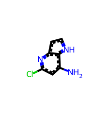 Nc1cc(Cl)nc2cc[nH]c12